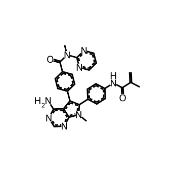 C=C(C)C(=O)Nc1ccc(-c2c(-c3ccc(C(=O)N(C)c4ncccn4)cc3)c3c(N)ncnc3n2C)cc1